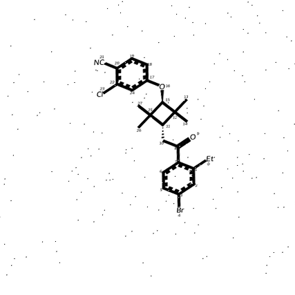 CCc1cc(Br)ccc1C(=O)C[C@H]1C(C)(C)[C@H](Oc2ccc(C#N)c(Cl)c2)C1(C)C